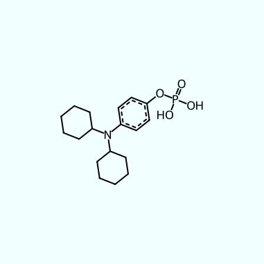 O=P(O)(O)Oc1ccc(N(C2CCCCC2)C2CCCCC2)cc1